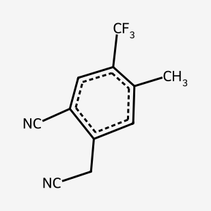 Cc1cc(CC#N)c(C#N)cc1C(F)(F)F